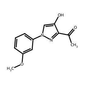 COc1cccc(-n2cc(O)c(C(C)=O)n2)c1